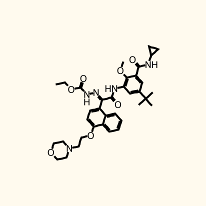 CCOC(=O)N/N=C(/C(=O)Nc1cc(C(C)(C)C)cc(C(=O)NC2CC2)c1OC)c1ccc(OCCN2CCOCC2)c2ccccc12